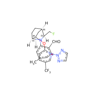 Cc1cc(N2[C@H](CF)[C@@H]3CC[C@H]2[C@H](Oc2ccc(C(F)(F)F)cn2)C3)c(C=O)c(-n2nccn2)c1